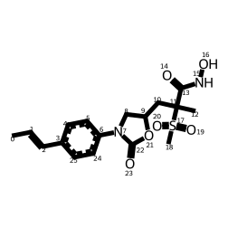 CC=Cc1ccc(N2CC(CC(C)(C(=O)NO)S(C)(=O)=O)OC2=O)cc1